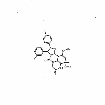 COC1(C)C=C(OC(C)C)C2(C)C3=NC(c4ccc(Cl)cc4)C(c4cccc(F)c4)N3C(=O)N3CC(=O)NC1=C32